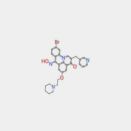 O=c1c(Cc2cccnc2)cn2c3cc(Br)ccc3c(=NO)c3cc(OCCN4CCCCC4)cc1c32